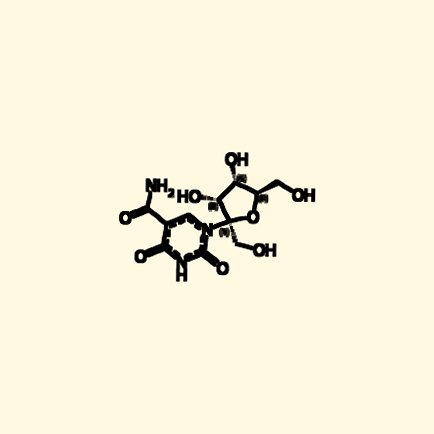 NC(=O)c1cn([C@]2(CO)O[C@H](CO)[C@@H](O)[C@H]2O)c(=O)[nH]c1=O